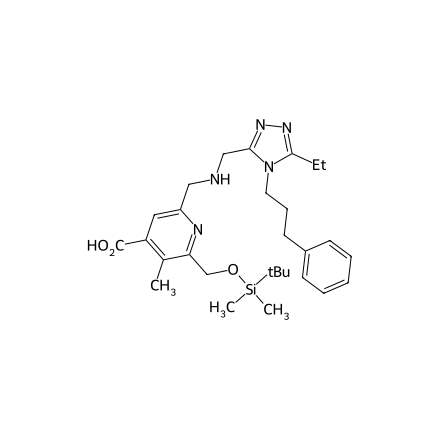 CCc1nnc(CNCc2cc(C(=O)O)c(C)c(CO[Si](C)(C)C(C)(C)C)n2)n1CCCc1ccccc1